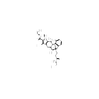 CCNC(=O)CCN1CC[C@]23c4c5cccc4O[C@H]2c2[nH]c(C(=O)NCC)c(C)c2C[C@@H]3[C@@H]1C5